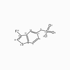 O=S(=O)(Cl)Cc1ccc2scc(F)c2c1